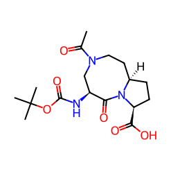 CC(=O)N1CC[C@H]2CC[C@@H](C(=O)O)N2C(=O)[C@@H](NC(=O)OC(C)(C)C)C1